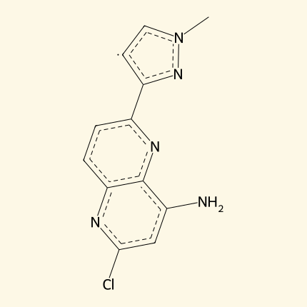 Cn1c[c]c(-c2ccc3nc(Cl)cc(N)c3n2)n1